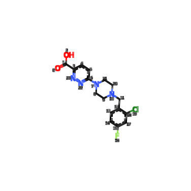 O=C(O)c1ccc(N2CCN(Cc3ccc(F)cc3Cl)CC2)nn1